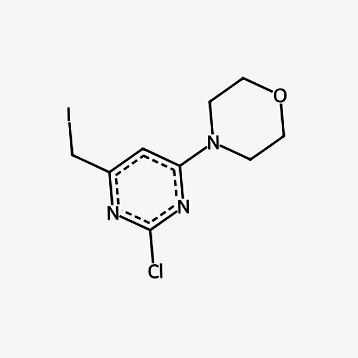 Clc1nc(CI)cc(N2CCOCC2)n1